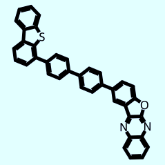 c1ccc2nc3c(nc2c1)oc1ccc(-c2ccc(-c4ccc(-c5cccc6c5sc5ccccc56)cc4)cc2)cc13